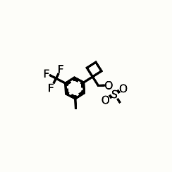 Cc1cc(C(F)(F)F)cc(C2(COS(C)(=O)=O)CCC2)c1